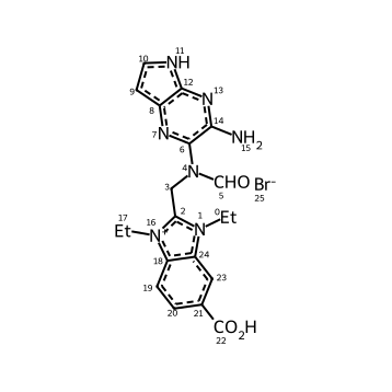 CCn1c(CN(C=O)c2nc3cc[nH]c3nc2N)[n+](CC)c2ccc(C(=O)O)cc21.[Br-]